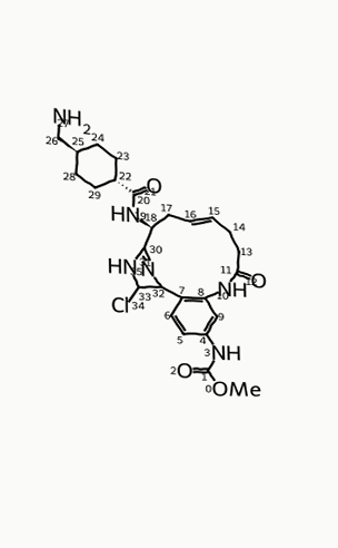 COC(=O)Nc1ccc2c(c1)NC(=O)CC/C=C/C[C@H](NC(=O)[C@H]1CC[C@H](CN)CC1)C1=NC2C(Cl)N1